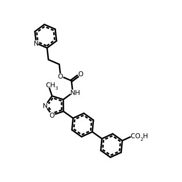 Cc1noc(-c2ccc(-c3cccc(C(=O)O)c3)cc2)c1NC(=O)OCCc1ccccn1